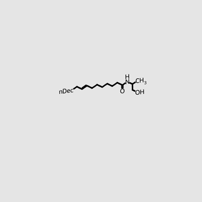 CCCCCCCCCCCC=CCCCCCCC(=O)NC(C)CO